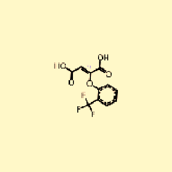 O=C(O)/C=C(\Oc1ccccc1C(F)(F)F)C(=O)O